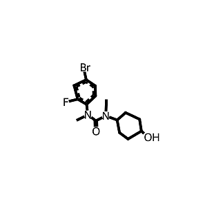 CN(C(=O)N(C)C1CCC(O)CC1)c1ccc(Br)cc1F